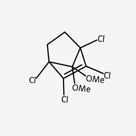 COC1(OC)C2(Cl)CCC1(Cl)C(Cl)=C2Cl